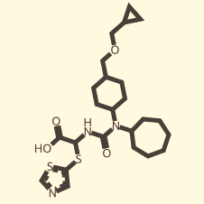 O=C(O)C(NC(=O)N(C1CCCCCC1)C1CCC(COCC2CC2)CC1)Sc1cncs1